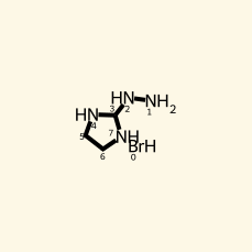 Br.NNC1NCCN1